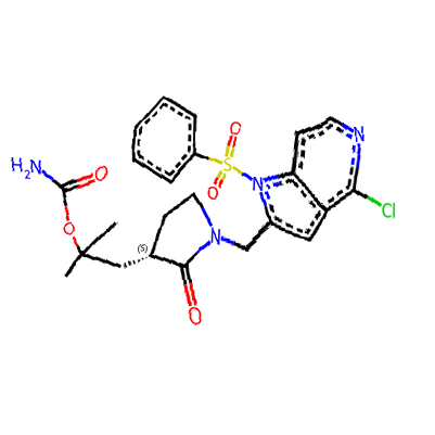 CC(C)(C[C@@H]1CCN(Cc2cc3c(Cl)nccc3n2S(=O)(=O)c2ccccc2)C1=O)OC(N)=O